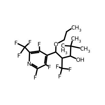 CCCOC(c1c(F)c(F)nc(C(F)(F)F)c1F)C(C(O)C(C)(C)C)C(F)(F)F